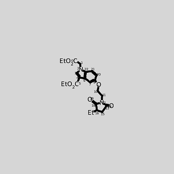 CCOC(=O)Cn1cc(C(=O)OCC)c2cc(OCCN3C(=O)CC(CC)C3=O)ccc21